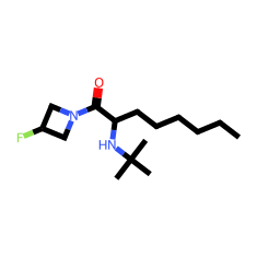 CCCCCCC(NC(C)(C)C)C(=O)N1CC(F)C1